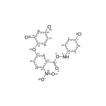 O=C(ONc1ccc(Cl)cc1)c1cc(Oc2ccc(Cl)cc2Cl)ccc1[N+](=O)[O-]